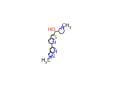 CN1CCCC(C(O)c2cc3ccc(-c4cnc5nn(C)cc5c4)nc3s2)C1